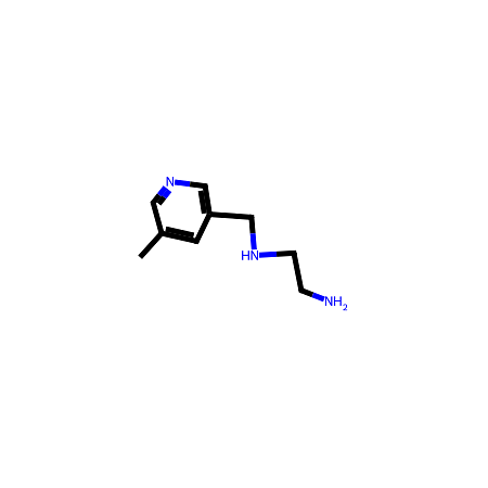 Cc1cncc(CNCCN)c1